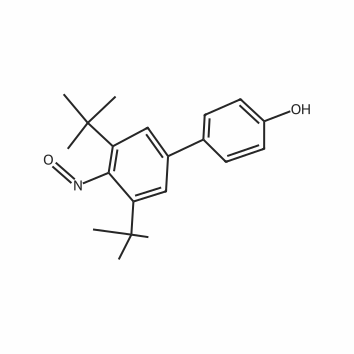 CC(C)(C)c1cc(-c2ccc(O)cc2)cc(C(C)(C)C)c1N=O